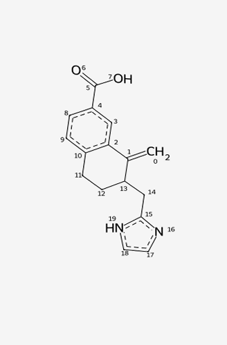 C=C1c2cc(C(=O)O)ccc2CCC1Cc1ncc[nH]1